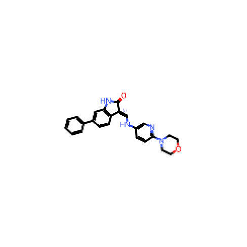 O=C1Nc2cc(-c3ccccc3)ccc2/C1=C\Nc1ccc(N2CCOCC2)nc1